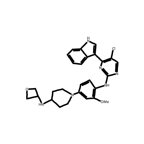 COc1cc(N2CCC(NC3COC3)CC2)ccc1Nc1ncc(Cl)c(-c2c[nH]c3ccccc23)n1